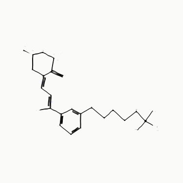 C=C1/C(=C\C=C(/CCCC)c2cccc(CCCCCC(C)(C)O)c2)C[C@@H](C)C[C@@H]1O